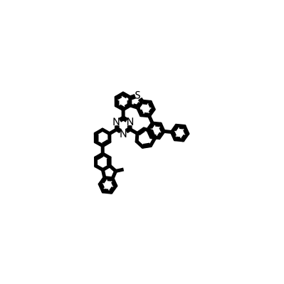 CC1C2=CC(C3=CC(c4nc(C5=CC=CC=CC5)nc(-c5cccc6sc7ccc(-c8cccc(-c9ccccc9)c8)cc7c56)n4)CC=C3)=CCC2c2ccccc21